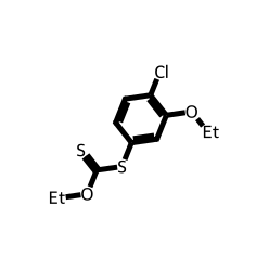 CCOC(=S)Sc1ccc(Cl)c(OCC)c1